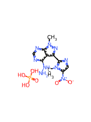 Cn1c([N+](=O)[O-])cnc1-c1nn(C)c2ncnc(NN)c12.O=P(O)(O)O